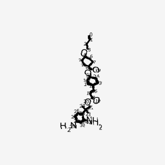 C=CCCOC1CCC(C(=O)Oc2ccc(/C=C/C(=O)OCC(C)(C)c3ccc(N)cc3N)cc2)CC1